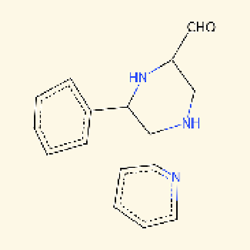 O=CC1CNCC(c2ccccc2)N1.c1ccncc1